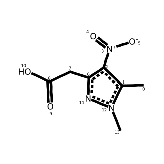 Cc1c([N+](=O)[O-])c(CC(=O)O)nn1C